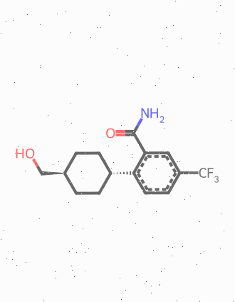 NC(=O)c1cc(C(F)(F)F)ccc1[C@H]1CC[C@H](CO)CC1